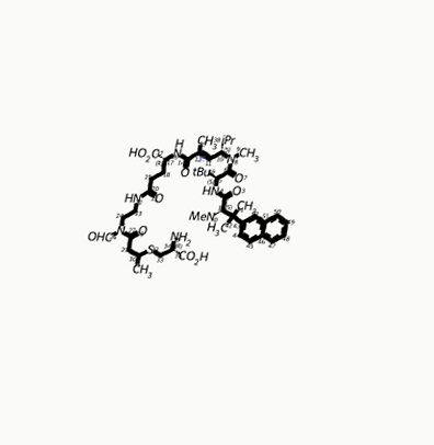 CN[C@H](C(=O)N[C@H](C(=O)N(C)[C@H](/C=C(\C)C(=O)N[C@H](CCC(=O)NCCN(C=O)C(=O)CC(C)SC[C@H](N)C(=O)O)C(=O)O)C(C)C)C(C)(C)C)C(C)(C)c1ccc2ccccc2c1